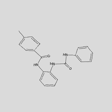 Cc1ccc(C(=O)Nc2ccccc2NC(=O)Nc2ccccc2)cc1